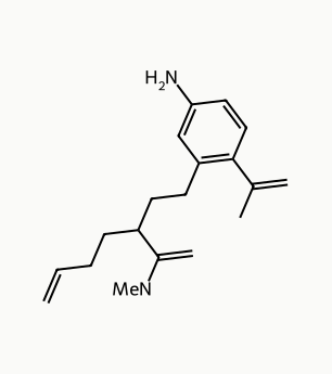 C=CCCC(CCc1cc(N)ccc1C(=C)C)C(=C)NC